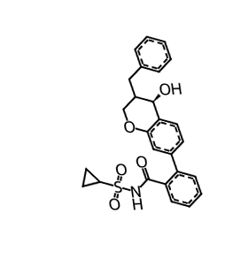 O=C(NS(=O)(=O)C1CC1)c1ccccc1-c1ccc2c(c1)OCC(Cc1ccccc1)[C@H]2O